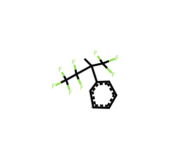 CC(c1c[c]ccc1)(C(F)(F)F)C(F)(F)C(F)(F)F